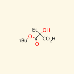 CCCCOC(=O)C(O)(CC)C(=O)O